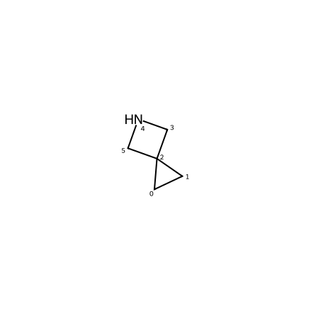 C1CC12CNC2